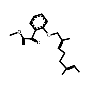 C=C(OC)C(=O)c1ccccc1OCC(C)=CCCC(C)=CC